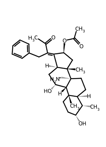 CC(=O)O[C@H]1C[C@@]2(C)[C@@H](C[C@@H](O)[C@H]3[C@@]4(C)CC[C@@H](O)[C@@H](C)[C@@H]4CC[C@@]32CN)/C1=C(\Cc1ccccc1)C(C)=O